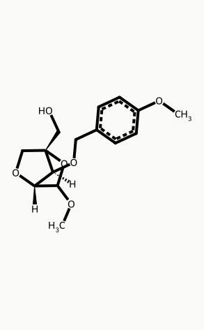 COc1ccc(CO[C@H]2[C@H]3OC[C@]2(CO)OC3OC)cc1